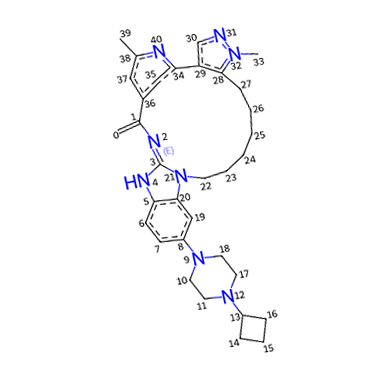 C=C1/N=C2\Nc3ccc(N4CCN(C5CCC5)CC4)cc3N2CCCCCCc2c(cnn2C)-c2cc1cc(C)n2